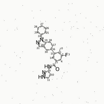 Cc1c(F)cc(C(=O)Nc2cc[nH]n2)cc1-c1ccc2c(cnn2-c2ccccc2)c1